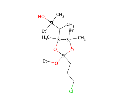 CCO[Si]1(CCCCl)O[Si](C)(C(C)C)[Si](C)(C(C)[Si](C)(O)CC)O1